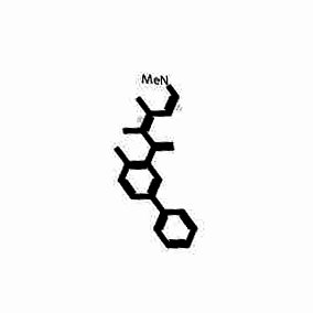 C=C(/C(C)=C(C)\C=C/NC)c1cc(-c2ccccc2)ccc1C